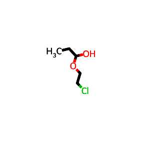 CCC(O)OCCCl